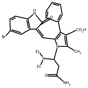 CCN(CC)C(CC(N)=O)n1c(C)c(C(=O)O)c(-c2ccccc2)c1C=C1C(=O)Nc2ccc(Br)cc21